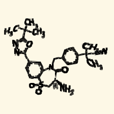 CC(C)(C)c1nnc(-c2ccc3c(c2)N(Cc2ccc(C(C)(C)C#N)cc2)C(=O)[C@@H](N)CS3(=O)=O)o1